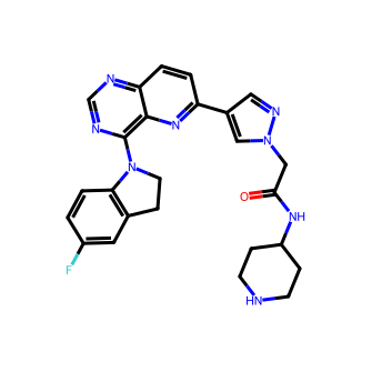 O=C(Cn1cc(-c2ccc3ncnc(N4CCc5cc(F)ccc54)c3n2)cn1)NC1CCNCC1